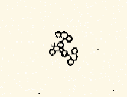 CC1(C)c2ccccc2-n2c3ccc(N4C5=C(C=CC6=C4C=CCC6)CCC=C5)cc3c3cc(N4c5ccccc5C=CC5C=CC=CC54)cc1c32